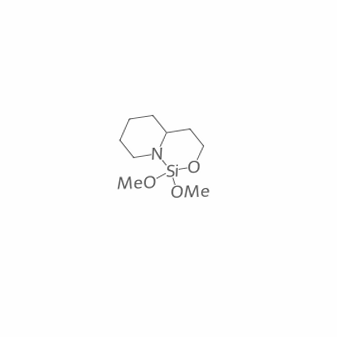 CO[Si]1(OC)OCCC2CCCCN21